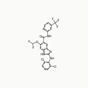 O=C(Nc1cc(C(F)(F)F)ccn1)c1cc2nc(Nc3c(Cl)cncc3Cl)[nH]c2cc1OC(F)F